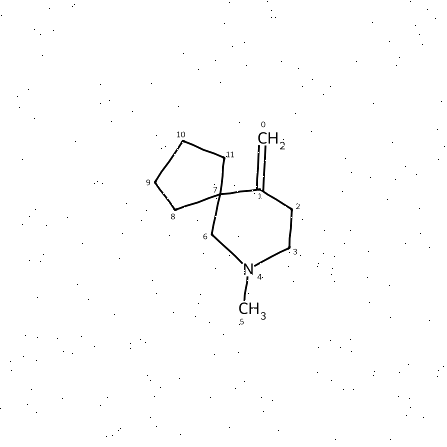 C=C1CCN(C)CC12CCCC2